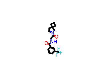 O=C(NCC(=O)N1CCC2(CCC2)C1)c1cccc(C(F)(F)F)c1